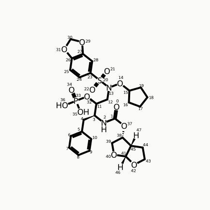 O=C(N[C@@H](Cc1ccccc1)C(CN(OC1CCCC1)S(=O)(=O)c1ccc2c(c1)OCO2)OP(=O)(O)O)O[C@H]1CO[C@H]2OCC[C@H]21